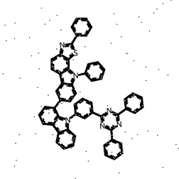 c1ccc(-c2nc(-c3ccccc3)nc(-c3cccc(-n4c5ccccc5c5cccc(-c6ccc7c(c6)c6ccc8nc(-c9ccccc9)sc8c6n7-c6ccccc6)c54)c3)n2)cc1